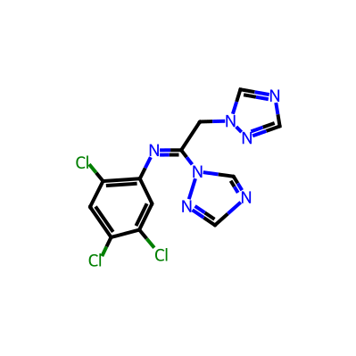 Clc1cc(Cl)c(N=C(Cn2cncn2)n2cncn2)cc1Cl